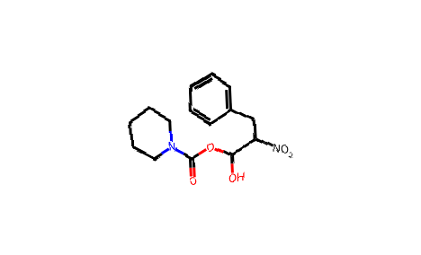 O=C(OC(O)C(Cc1ccccc1)[N+](=O)[O-])N1CCCCC1